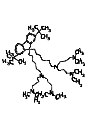 CN(C)CCCN(CCCCCCC1(CCCCCCN(CCCN(C)C)CCCN(C)C)c2cc(C(C)(C)C)ccc2-c2ccc(C(C)(C)C)cc21)CCCN(C)C